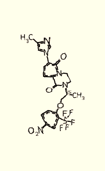 Cc1cn(-c2ccc3n(c2=O)CCN([C@@H](C)COc2ccc([N+](=O)[O-])cc2S(F)(F)(F)(F)F)C3=O)cn1